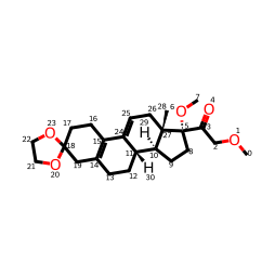 COCC(=O)[C@@]1(OC)CC[C@H]2[C@@H]3CCC4=C(CCC5(C4)OCCO5)C3=CC[C@@]21C